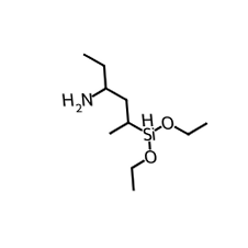 CCO[SiH](OCC)C(C)CC(N)CC